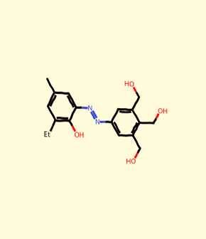 CCc1cc(C)cc(/N=N/c2cc(CO)c(CO)c(CO)c2)c1O